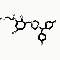 CC(C)c1ccc(CN2CCN(C(c3ccc(F)cc3)c3ccc(F)cc3)CC2)c(=O)c(NCCO)c1